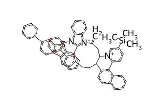 C=C1CC2C(CCc3ccc4c(sc5cc(-c6ccccc6)ccc54)c3-c3n(-c4ccccc4-c4ccccc4)c4ccccc4[n+]31)c1ccc3ccccc3c1-c1ccc([Si](C)(C)C)c[n+]12